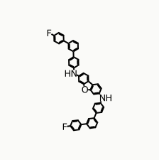 Fc1ccc(-c2cccc(-c3ccc(Nc4ccc5c(c4)oc4cc(Nc6ccc(-c7cccc(-c8ccc(F)cc8)c7)cc6)ccc45)cc3)c2)cc1